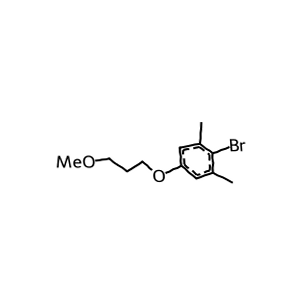 COCCCOc1cc(C)c(Br)c(C)c1